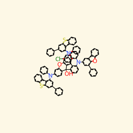 OC1(c2cccc(N(c3ccccc3)c3cc(-c4ccccc4)c4oc5ccccc5c4c3)c2-c2cccc(Cl)c2)c2ccc(N(c3ccccc3)c3cc(-c4ccccc4)cc4sc5ccccc5c34)cc2Oc2cc(N(c3ccccc3)c3cc(-c4ccccc4)cc4sc5ccccc5c34)ccc21